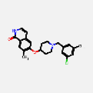 Cc1cc(Cl)cc(CN2CCC(Oc3cc4cc[nH]c(=O)c4cc3C)CC2)c1